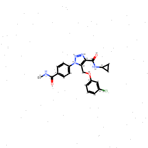 CCNC(=O)c1ccc(-n2nnc(C(=O)NC3CC3)c2COc2cccc(Cl)c2)cc1